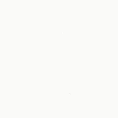 [CH]=CC1CC1